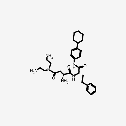 NCCN(CCN)C(=O)C[C@H](N)C(=O)N[C@@H](CCc1ccccc1)C(=O)Nc1ccc(C2CCCCC2)cc1